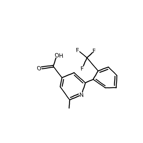 Cc1cc(C(=O)O)cc(-c2ccccc2C(F)(F)F)n1